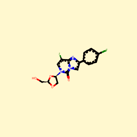 O=c1n([C@H]2CO[C@@H](CO)O2)cc(F)c2nc(-c3ccc(F)cc3)cn12